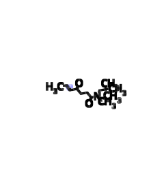 C/C=C/C(=O)CCC(=O)N(C)CC(C)(C)C